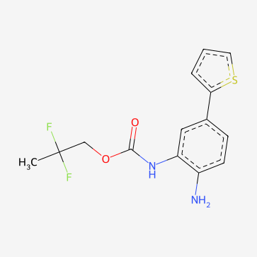 CC(F)(F)COC(=O)Nc1cc(-c2cccs2)ccc1N